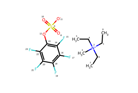 CC[N+](C)(CC)CC.O=S(=O)([O-])Oc1c(F)c(F)c(F)c(F)c1F